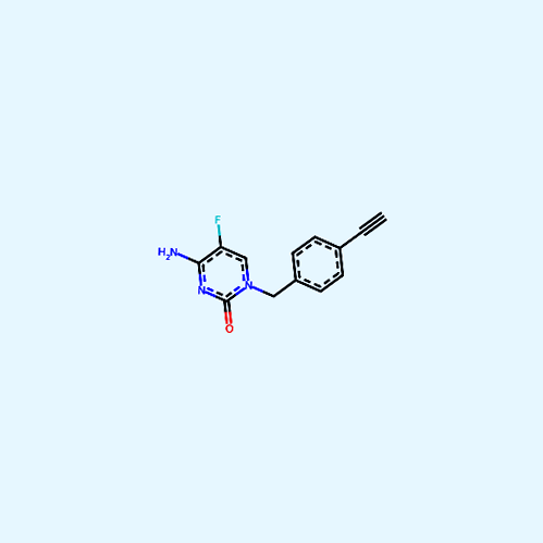 C#Cc1ccc(Cn2cc(F)c(N)nc2=O)cc1